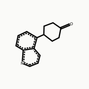 O=C1CCC(c2cccc3ncccc23)CC1